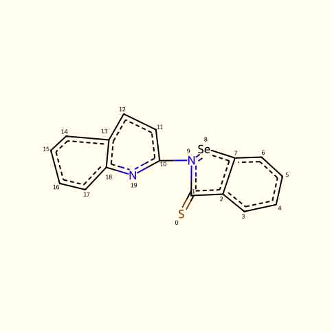 S=c1c2ccccc2[se]n1-c1ccc2ccccc2n1